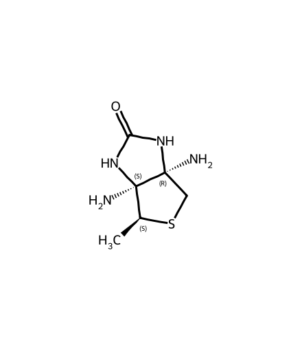 C[C@@H]1SC[C@]2(N)NC(=O)N[C@]12N